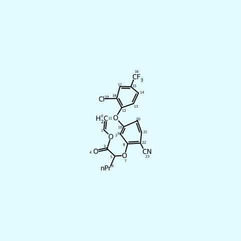 C=COC(=O)C(CCC)Oc1cc(Oc2ccc(C(F)(F)F)cc2Cl)ccc1C#N